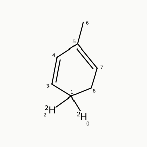 [2H]C1([2H])C=CC(C)=CC1